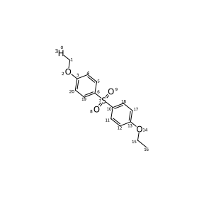 [3H]COc1ccc(S(=O)(=O)c2ccc(OCC)cc2)cc1